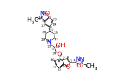 Cc1nnc(-c2cc3c(OC[C@@H](O)CN4CCC(c5ccc6onc(C)c6c5)CC4)cccc3o2)o1